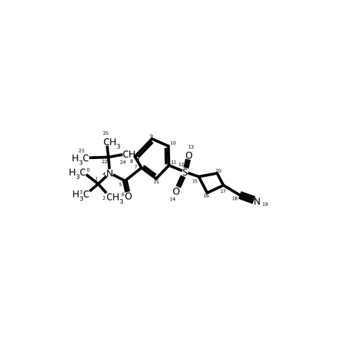 CC(C)(C)N(C(=O)c1cccc(S(=O)(=O)C2CC(C#N)C2)c1)C(C)(C)C